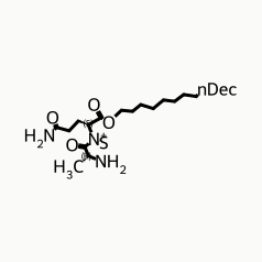 CCCCCCCCCCCCCCCCCCOC(=O)[C@H](CCC(N)=O)[N+](=S)C(=O)[C@@H](C)N